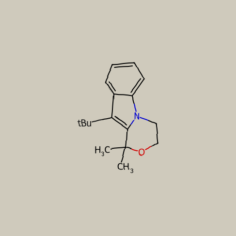 CC(C)(C)c1c2n(c3ccccc13)CCOC2(C)C